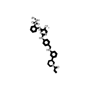 C=CC(=O)N1CCCC(c2cccc(NCc3ccc(Nc4ncc(C(F)(F)F)c(Nc5ccccc5S(=O)(=O)NC(C)C)n4)cc3)c2)C1